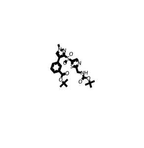 Cn1cc(-c2cccc(C(=O)OC(C)(C)C)c2)c(S(=O)(=O)c2cnc(CNC(=O)OC(C)(C)C)s2)n1